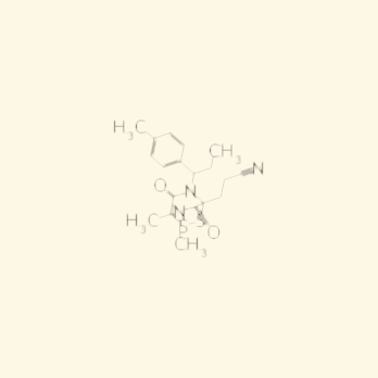 CCC(c1ccc(C)cc1)N1C(=O)C2(C)SSC1(CCC#N)C(=O)N2C